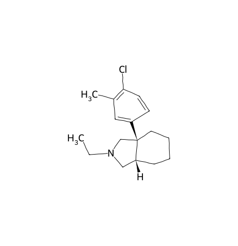 CCN1C[C@H]2CCCC[C@@]2(c2ccc(Cl)c(C)c2)C1